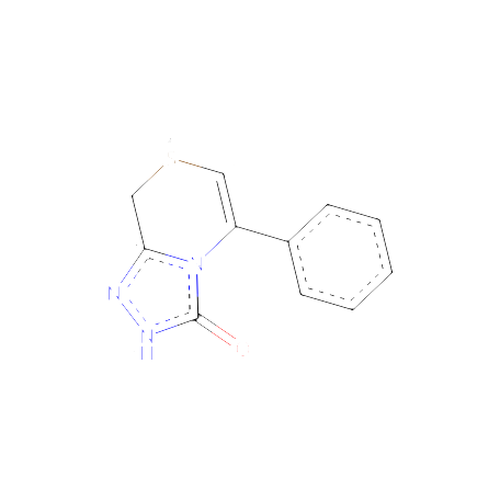 O=c1[nH]nc2n1C(c1ccccc1)=CSC2